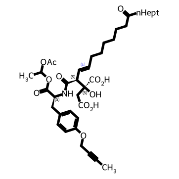 CC#CCOc1ccc(C[C@H](NC(=O)[C@@H](/C=C/CCCCCCC(=O)CCCCCCC)[C@@](O)(CC(=O)O)C(=O)O)C(=O)OC(C)OC(C)=O)cc1